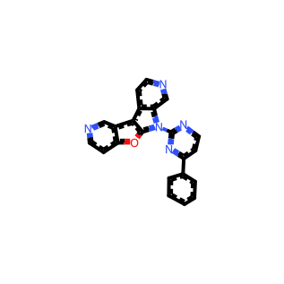 c1ccc(-c2ccnc(-n3c4cnccc4c4c5cnccc5oc43)n2)cc1